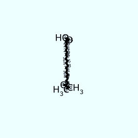 CC(C)C(=O)CCCCCCCCCCCCCCCCCCCCC(=O)O